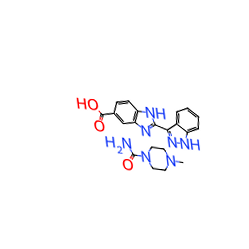 CN1CCN(C(N)=O)CC1.O=C(O)c1ccc2[nH]c(-c3n[nH]c4ccccc34)nc2c1